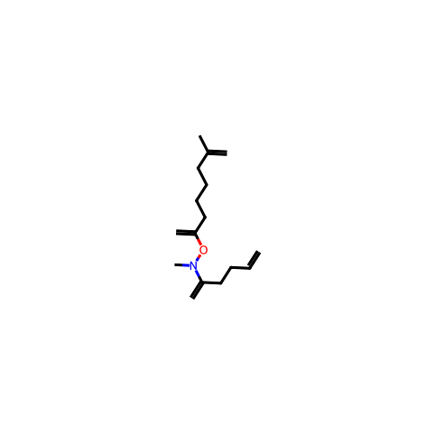 C=CCCC(=C)N(C)OC(=C)CCCCC(=C)C